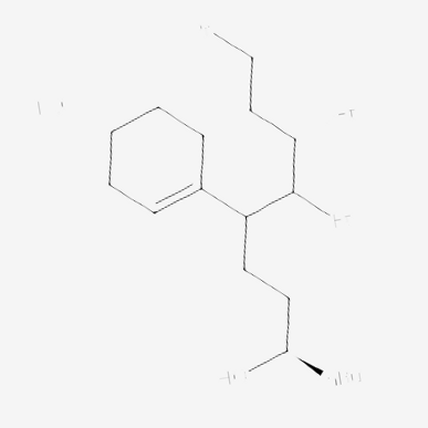 CCCC[C@@H](O)CCC(C1=CC[C@H](C)CC1)C(CC)[C@@H](CC)CCC(C)C